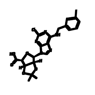 Cc1cccc(CNc2nc(Cl)nc3c2ncn3[C@@H]2O[C@H](C(=O)O)[C@H]3OC(C)(C)O[C@H]32)c1